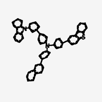 c1cc(-c2ccc(N(c3ccc(-c4ccc5ccccc5c4)cc3)c3ccc(-c4ccc5sc6ccccc6c5c4)cc3)cc2)cc(-n2c3ccccc3c3ccccc32)c1